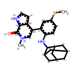 CSc1ccc(NC2C3CC4CC(C3)CC2C4)c(-c2cn(C)c(=O)c3[nH]ccc23)c1